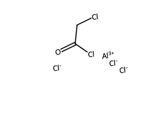 O=C(Cl)CCl.[Al+3].[Cl-].[Cl-].[Cl-]